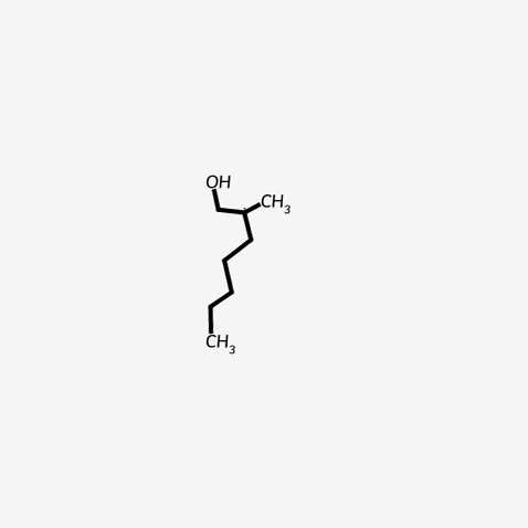 CCCCC[C](C)CO